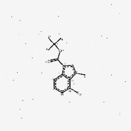 Cc1cn(C(=O)OC(C)(C)C)c2cccc(I)c12